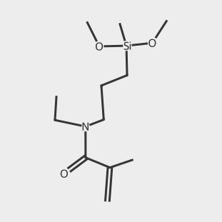 C=C(C)C(=O)N(CC)CCC[Si](C)(OC)OC